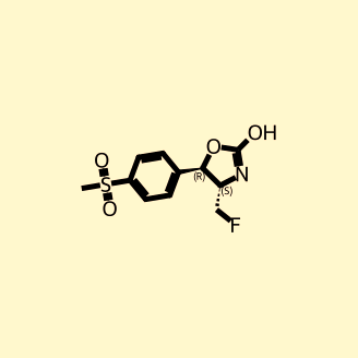 CS(=O)(=O)c1ccc([C@H]2OC(O)=N[C@@H]2CF)cc1